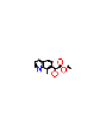 CCOC(=O)C(=O)c1ccc2cccnc2c1C